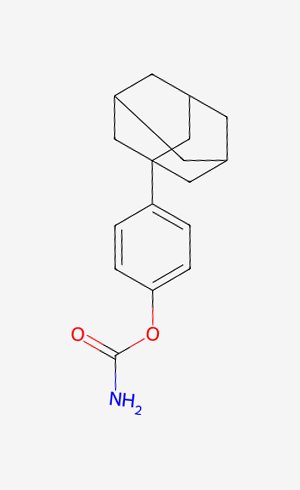 NC(=O)Oc1ccc(C23CC4CC(CC(C4)C2)C3)cc1